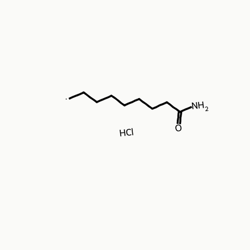 Cl.[CH2]CCCCCCCC(N)=O